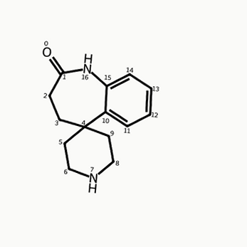 O=C1CCC2(CCNCC2)c2ccccc2N1